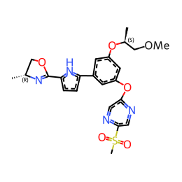 COC[C@H](C)Oc1cc(Oc2cnc(S(C)(=O)=O)cn2)cc(-c2ccc(C3=N[C@H](C)CO3)[nH]2)c1